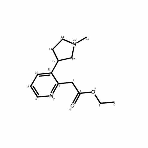 CCOC(=O)Cc1ncccc1C1CCN(C)C1